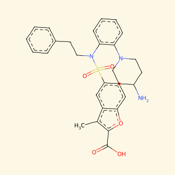 Cc1c(C(=O)O)oc2ccc(S(=O)(=O)N(CCc3ccccc3)c3ccccc3N3CCC(N)CC3)cc12